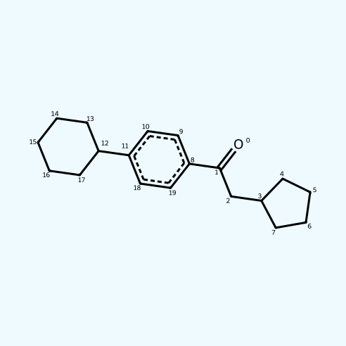 O=C(CC1CCCC1)c1ccc(C2CCCCC2)cc1